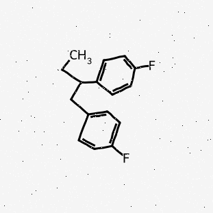 C[CH]C(Cc1ccc(F)cc1)c1ccc(F)cc1